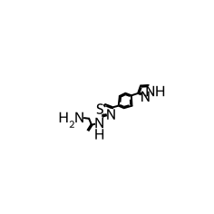 C=C(CN)Nc1nc(-c2ccc(-c3cc[nH]n3)cc2)cs1